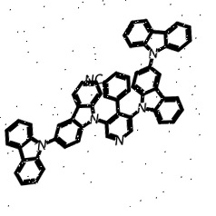 N#Cc1cccc(-c2c(-n3c4ccccc4c4cc(-n5c6ccccc6c6ccccc65)ccc43)cncc2-n2c3ccccc3c3cc(-n4c5ccccc5c5ccccc54)ccc32)c1